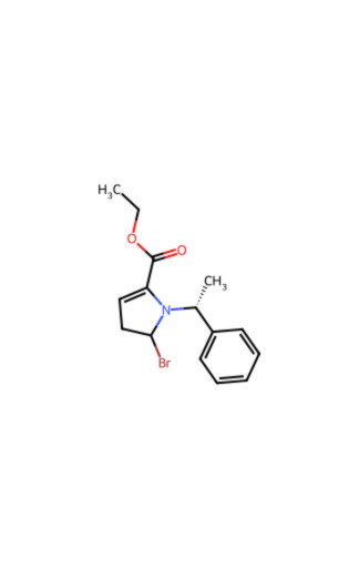 CCOC(=O)C1=CCC(Br)N1[C@H](C)c1ccccc1